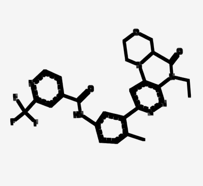 CCN1C(=O)C2COCCN2c2cc(-c3cc(NC(=O)c4ccnc(C(F)(F)F)c4)ccc3C)nnc21